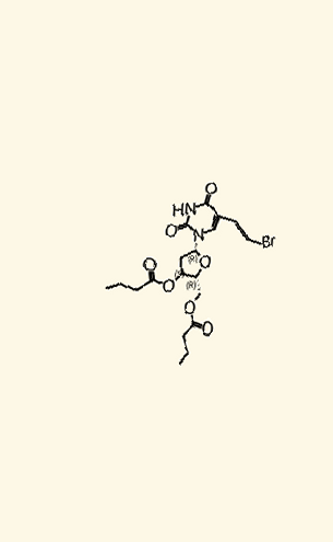 CCCC(=O)OC[C@H]1O[C@@H](n2cc(C=CBr)c(=O)[nH]c2=O)C[C@@H]1OC(=O)CCC